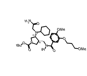 COCCCOc1cc(C(=O)N(C[C@@H]2CN(C(=O)OC(C)(C)C)C[C@H]2N(CC(N)=O)C2CCCCC2)C(C)C)ccc1OC